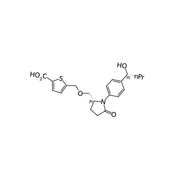 CCC[C@@H](O)c1ccc(N2C(=O)CC[C@@H]2COCc2ccc(C(=O)O)s2)cc1